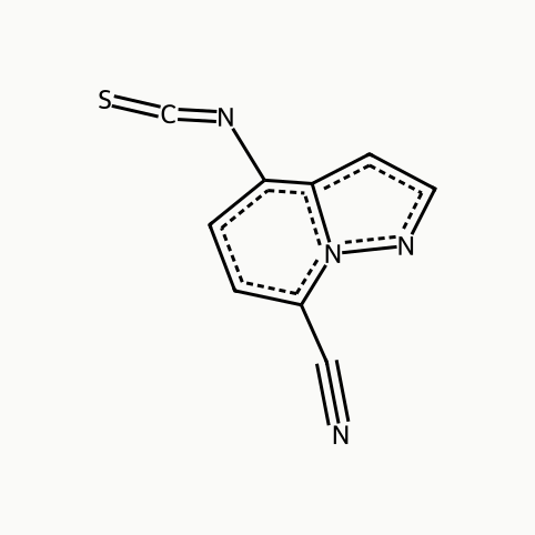 N#Cc1ccc(N=C=S)c2ccnn12